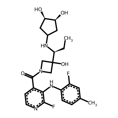 CC[C@H](NC1C[C@@H](O)[C@@H](O)C1)C1(O)CN(C(=O)c2ccnc(F)c2Nc2ccc(C)cc2F)C1